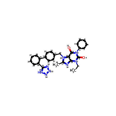 CCn1c(=O)n(-c2ccccc2)c(=O)c2c1nc(C)n2Cc1ccc(-c2ccccc2-c2nnn[nH]2)cc1